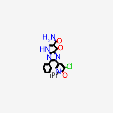 CC(C)n1cc(-c2nc3c(=O)c(C(N)=O)c[nH]c3nc2-c2ccccc2)cc(Cl)c1=O